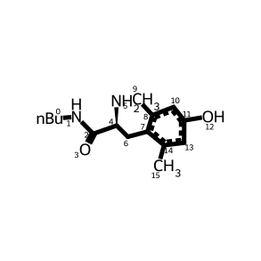 CCCCNC(=O)[C@@H](N)Cc1c(C)cc(O)cc1C